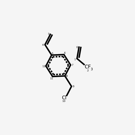 C=CC(F)(F)F.C=Cc1ccc(CCl)cc1